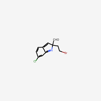 O=CC1(CCBr)C=c2ccc(Cl)cc2=N1